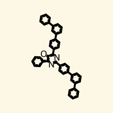 c1ccc(-c2cccc(-c3ccc(-c4nc(-c5ccc(-c6cccc(-c7ccccc7)c6)cc5)c5oc6ccccc6c5n4)cc3)c2)cc1